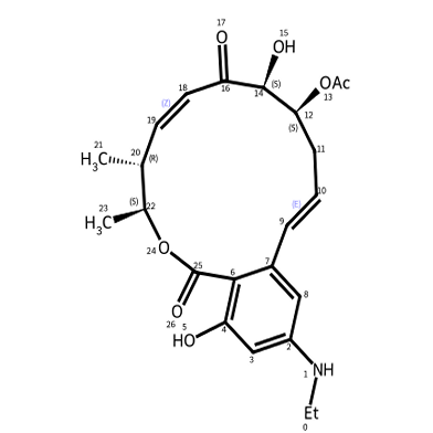 CCNc1cc(O)c2c(c1)/C=C/C[C@H](OC(C)=O)[C@H](O)C(=O)/C=C\[C@@H](C)[C@H](C)OC2=O